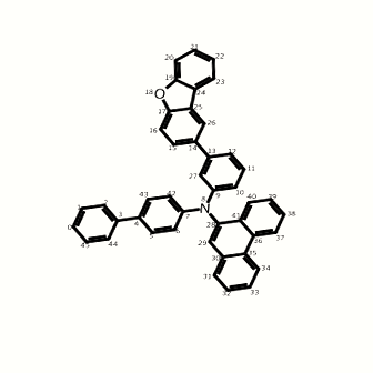 c1ccc(-c2ccc(N(c3cccc(-c4ccc5oc6ccccc6c5c4)c3)c3cc4ccccc4c4ccccc34)cc2)cc1